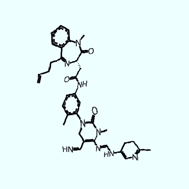 C=CCCC1=N[C@@H](CC(=O)Nc2ccc(C)c(N3CC(C=N)=C(/N=C/NC4=CN=C(C)CC4)N(C)C3=O)c2)C(=O)N(C)c2ccccc21